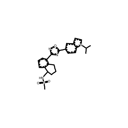 CC(C)n1ccc2cc(-c3nc(-c4cccc5c4CCCC5NS(C)(=O)=O)no3)ccc21